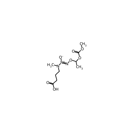 COC(=O)OC(C)ON=[N+]([O-])N(C)CCCC(=O)O